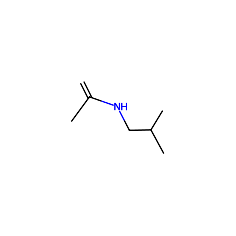 C=C(C)NCC(C)C